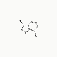 Clc1nsc2c(Cl)cccc12